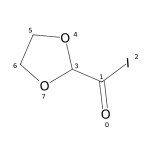 O=C(I)C1OCCO1